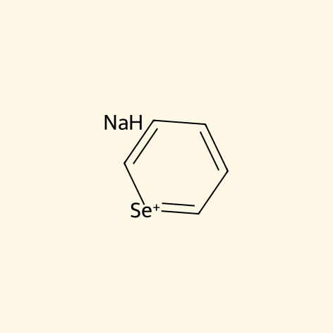 [NaH].c1cc[se+]cc1